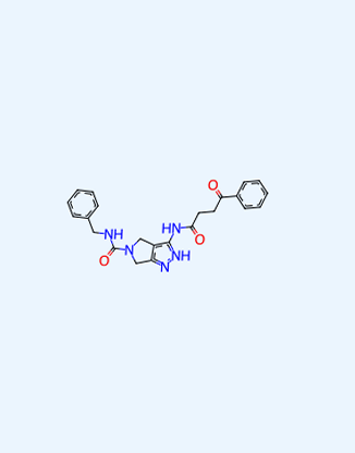 O=C(CCC(=O)c1ccccc1)Nc1[nH]nc2c1CN(C(=O)NCc1ccccc1)C2